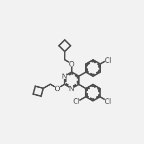 Clc1ccc(-c2c(OCC3CCC3)nc(OCC3CCC3)nc2-c2ccc(Cl)cc2Cl)cc1